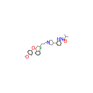 COc1ccc(OC(CCCCCN2CCC(c3cccc(NC(=O)C(C)C)c3)CC2)c2ccccc2F)cc1